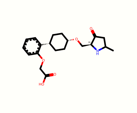 CC1CC(=O)[C@H](CO[C@H]2CC[C@@H](c3ccccc3OCC(=O)O)CC2)N1